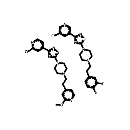 COc1cc(CCN2CCN(c3nc(-c4ccnc(Cl)c4)ns3)CC2)ccn1.Fc1ccc(CCN2CCN(c3nc(-c4cncc(Cl)c4)ns3)CC2)cc1F